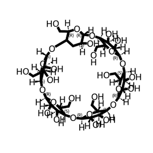 OC[C@H]1O[C@@H]2O[C@H]3[C@@H](O)[C@H](O)[C@@H](O[C@H]4[C@@H](O)[C@H](O)[C@@H](O[C@H]5[C@@H](O)[C@H](O)[C@@H](O[C@H]6[C@@H](O)[C@H](O)[C@@H](O[C@H]7[C@@H](O)[C@H](O)[C@@H](OC1C[C@@H]2O)O[C@@H]7CO)O[C@@H]6CO)O[C@@H]5CO)O[C@@H]4CO)O[C@@H]3CO